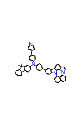 CC1(C)c2ccccc2-c2ccc(N(c3ccc(-c4ccncc4)cc3)c3ccc(-c4ccc5c(c4)c4ccc6ccn(-c7ccccc7)c6c4n5-c4ccccc4)cc3)cc21